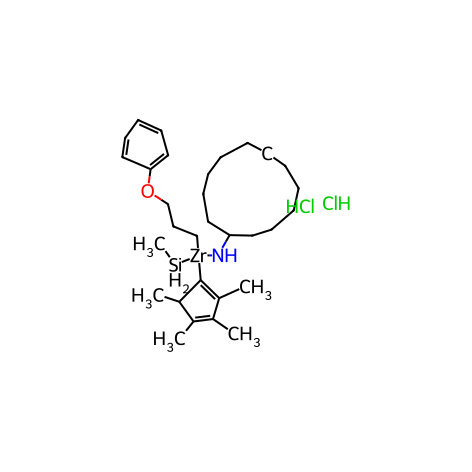 C[SiH2][Zr]([CH2]CCOc1ccccc1)([NH]C1CCCCCCCCCCC1)[C]1=C(C)C(C)=C(C)C1C.Cl.Cl